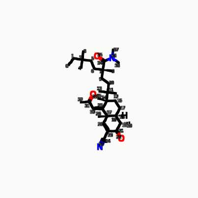 CCC(C)(C)CC[C@@](C)(CCC(C)(C)[C@]1(C)CC[C@H]2[C@H](C)C(=O)C(C#N)=C[C@]2(C)/C1=C/C(C)=O)C(=O)N(C)C